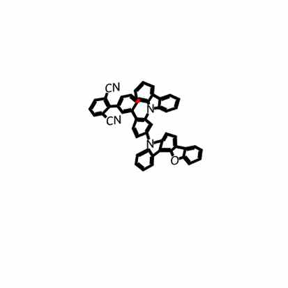 N#Cc1cccc(C#N)c1-c1cccc(-c2ccc(-n3c4ccccc4c4c5oc6ccccc6c5ccc43)cc2-n2c3ccccc3c3ccccc32)c1